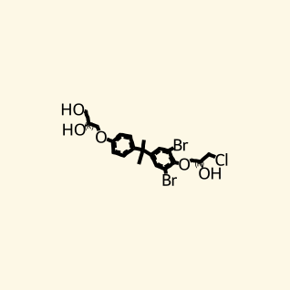 CC(C)(c1ccc(OC[C@H](O)CO)cc1)c1cc(Br)c(OC[C@@H](O)CCl)c(Br)c1